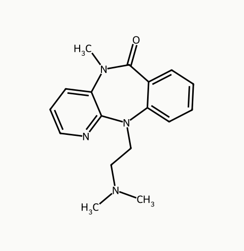 CN(C)CCN1c2ccccc2C(=O)N(C)c2cccnc21